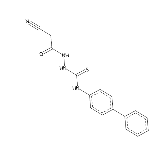 N#CCC(=O)NNC(=S)Nc1ccc(-c2ccccc2)cc1